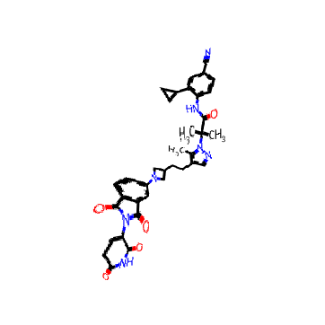 Cc1c(CCC2CN(c3ccc4c(c3)C(=O)N(C3CCC(=O)NC3=O)C4=O)C2)cnn1C(C)(C)C(=O)Nc1ccc(C#N)cc1C1CC1